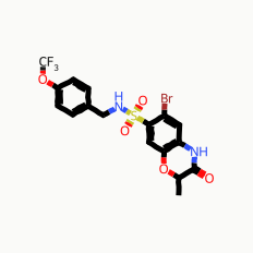 CC1Oc2cc(S(=O)(=O)NCc3ccc(OC(F)(F)F)cc3)c(Br)cc2NC1=O